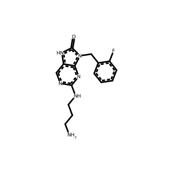 NCCCNc1ncc2[nH]c(=O)n(Cc3ccccc3F)c2n1